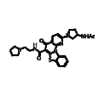 CC(=O)NC1CCN(c2ccc3c(=O)c(C(=O)NCCN4CCCC4)c4sc5ccccc5n4c3n2)C1